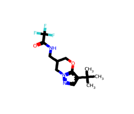 CC(C)(C)c1cnn2c1OCC(CNC(=O)C(F)(F)F)C2